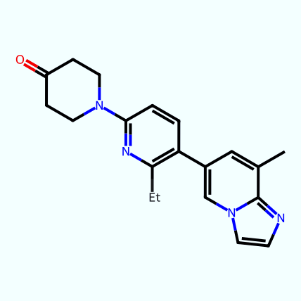 CCc1nc(N2CCC(=O)CC2)ccc1-c1cc(C)c2nccn2c1